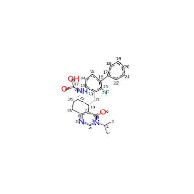 CC(C)n1cnc2c(c1=O)[C@@H](Cc1cccc(-c3ccccc3)c1F)[C@@H](NC(=O)O)CC2